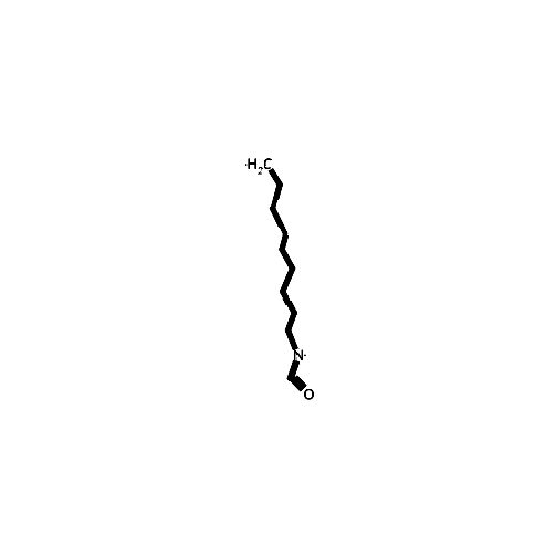 [CH2]CCCCCCCC[N]C=O